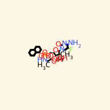 CC(C)OC(=O)[C@@H](C)N[P@](=O)(OC[C@H]1O[C@@H](n2cc(F)c(N)nc2=O)[C@](C)(O)[C@@H]1O)Oc1cccc2ccccc12